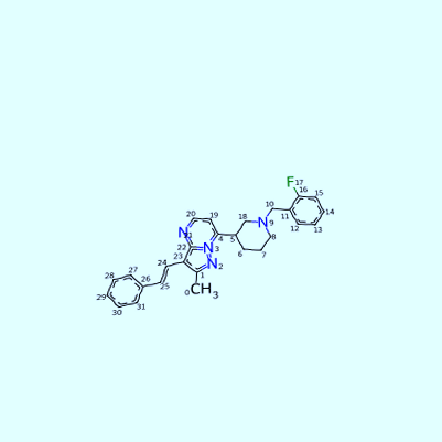 Cc1nn2c(C3CCCN(Cc4ccccc4F)C3)ccnc2c1C=Cc1ccccc1